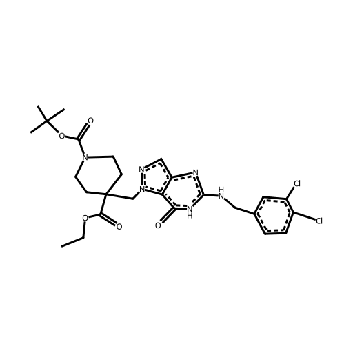 CCOC(=O)C1(Cn2ncc3nc(NCc4ccc(Cl)c(Cl)c4)[nH]c(=O)c32)CCN(C(=O)OC(C)(C)C)CC1